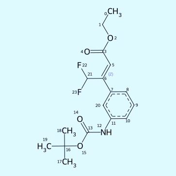 CCOC(=O)/C=C(/c1cccc(NC(=O)OC(C)(C)C)c1)C(F)F